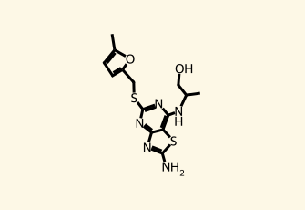 Cc1ccc(CSc2nc(NC(C)CO)c3sc(N)nc3n2)o1